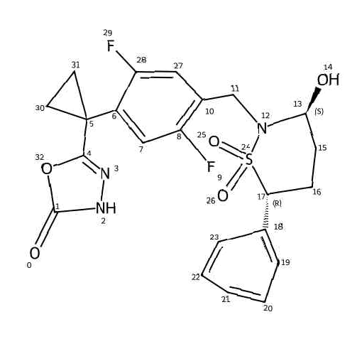 O=c1[nH]nc(C2(c3cc(F)c(CN4[C@@H](O)CC[C@H](c5ccccc5)S4(=O)=O)cc3F)CC2)o1